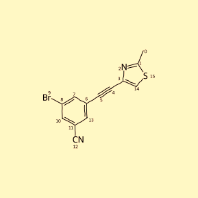 Cc1nc(C#Cc2cc(Br)cc(C#N)c2)cs1